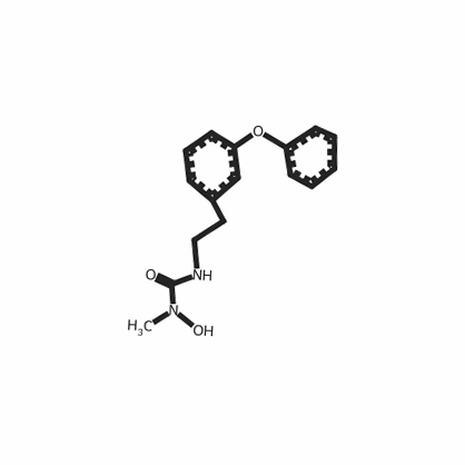 CN(O)C(=O)NCCc1cccc(Oc2ccccc2)c1